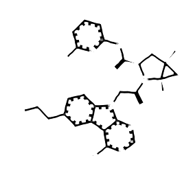 CCOC(=O)CCc1ccc2c(c1)c1c(N)ncnc1n2CC(=O)N1[C@@H](C(=O)Nc2cccc(Br)n2)C[C@]2(C)C[C@H]12